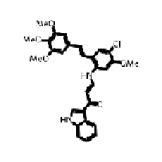 COc1cc(NC=CC(=O)c2c[nH]c3ccccc23)c(C=Cc2cc(OC)c(OC)c(OC)c2)cc1Cl